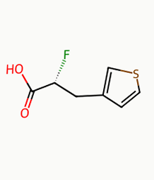 O=C(O)[C@H](F)Cc1ccsc1